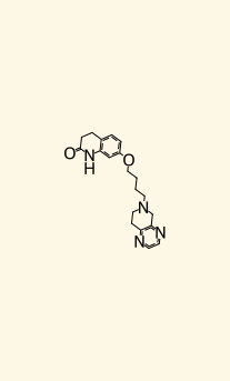 O=C1CCc2ccc(OCCCCN3CCc4nccnc4C3)cc2N1